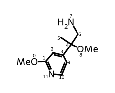 COc1cc(C(C)(CN)OC)ccn1